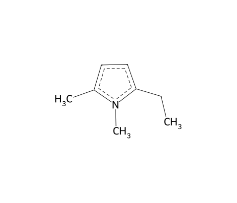 CCc1ccc(C)n1C